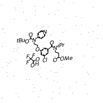 COC(=O)CCN(C(=O)c1cc(Cl)cc(OCCN(C(=O)OC(C)(C)C)c2ccncc2)c1)C(C)C.O=C(O)C(F)(F)F